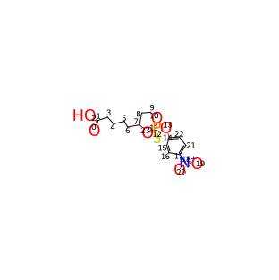 O=C(O)CCCCC1CCOP(=S)(Oc2ccc([N+](=O)[O-])cc2)O1